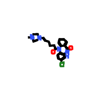 CN1CCN(CCCCCC(=O)N2c3ccc(Cl)cc3NC(=O)c3ccccc32)CC1